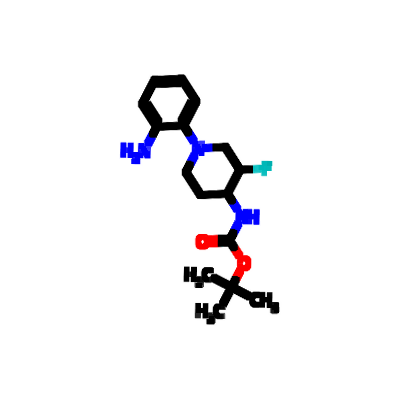 CC(C)(C)OC(=O)NC1CCN(c2ccccc2N)CC1F